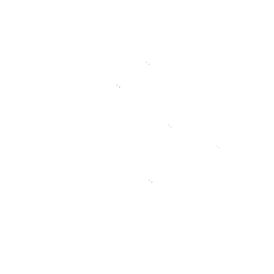 CN1CCC2(CC1)CNC(=O)c1cc(-c3ccnc(NC(=O)c4ccc5ccccc5c4)c3)[nH]c12